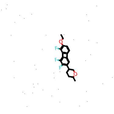 CCOc1ccc2c(c1F)-c1c-2cc(C2CCC(C)OC2)c(F)c1F